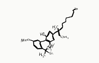 COc1ccc(C(C)(C)O)c(-c2c(O)cc(C(C)(C)CCCCCCBr)cc2O)c1